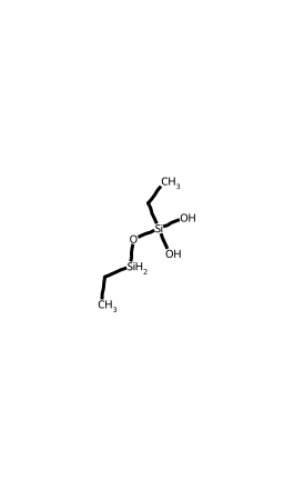 CC[SiH2]O[Si](O)(O)CC